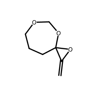 C=C1OC12CCCOCO2